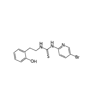 Oc1ccccc1CCNC(=S)Nc1ccc(Br)cn1